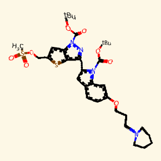 CC(C)(C)OC(=O)n1nc(-c2cc3ccc(OCCCN4CCCCC4)cc3n2C(=O)OC(C)(C)C)c2sc(COS(C)(=O)=O)cc21